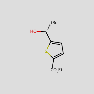 CCOC(=O)c1ccc([C@H](O)C(C)(C)C)s1